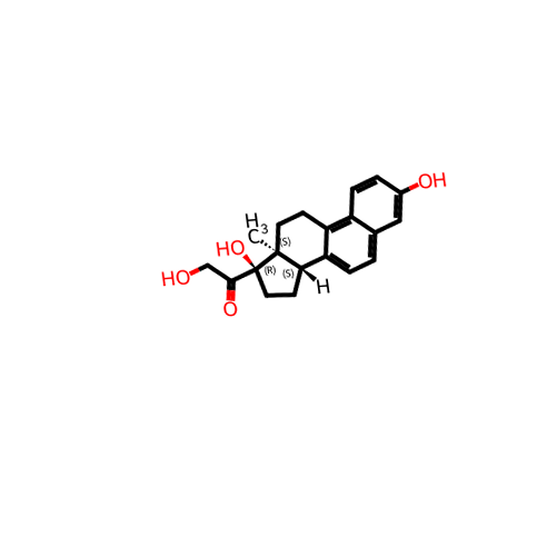 C[C@]12CCc3c(ccc4cc(O)ccc34)[C@@H]1CC[C@]2(O)C(=O)CO